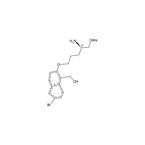 COC[C@H](N)CCCOc1ccc2cc(Br)ccc2c1CO